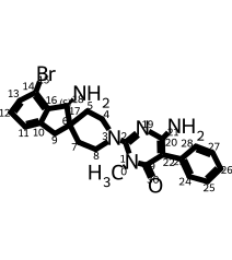 Cn1c(N2CCC3(CC2)Cc2cccc(Br)c2[C@H]3N)nc(N)c(-c2ccccc2)c1=O